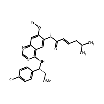 CCOc1cc2ncnc(N[C@H](COC)c3ccc(Cl)cc3)c2cc1NC(=O)/C=C/CN(C)C